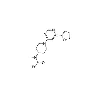 CCC(=O)N(C)C1CCN(c2cc(-c3ccco3)ncn2)CC1